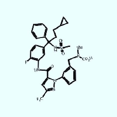 CC(C)(C)N(Cc1cccc(-n2nc(C(F)(F)F)cc2C(=O)Nc2cc(C(CCC3CC3)(NS(C)(=O)=O)c3ccccc3)ccc2F)c1)C(=O)O